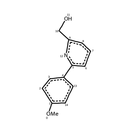 COc1ccc(-c2cccc(CO)n2)cc1